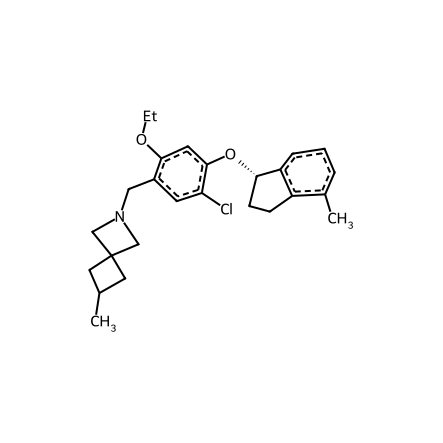 CCOc1cc(O[C@H]2CCc3c(C)cccc32)c(Cl)cc1CN1CC2(CC(C)C2)C1